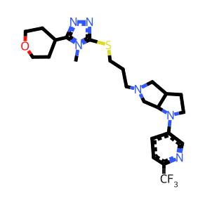 Cn1c(SCCCN2CC3CCN(c4ccc(C(F)(F)F)nc4)C3C2)nnc1C1CCOCC1